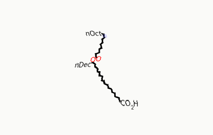 CCCCCCCC/C=C\CCCCCCCC(=O)OC(CCCCCCCCCC)CCCCCCCCCCCCCCCCCCC(=O)O